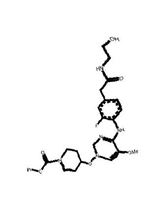 COC1=CN(OC2CCN(C(=O)OC(C)C)CC2)CN=C1Nc1ccc(CC(=O)NCCO)cc1F